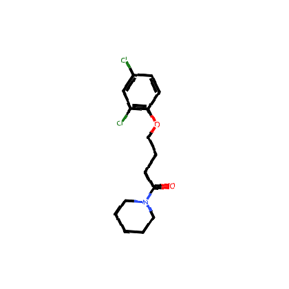 O=C(CCCOc1ccc(Cl)cc1Cl)N1CCCCC1